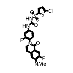 CNc1cc2ccn(-c3ccc(NC(=O)NS(=O)(=O)c4ccc(Cl)s4)cc3F)c(=O)c2cc1F